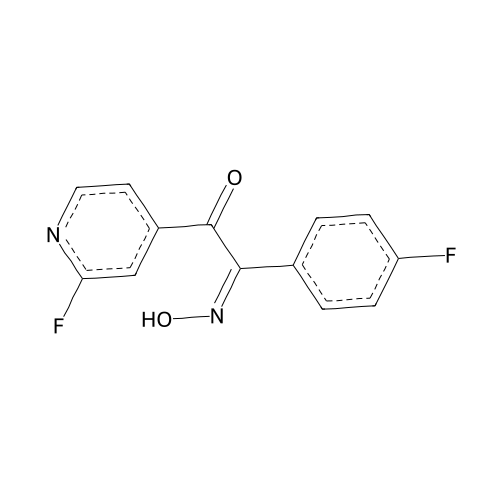 O=C(C(=NO)c1ccc(F)cc1)c1ccnc(F)c1